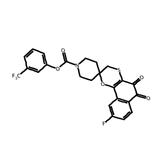 O=C1C(=O)c2ccc(F)cc2C2=C1SCC1(CCN(C(=O)Oc3cccc(C(F)(F)F)c3)CC1)O2